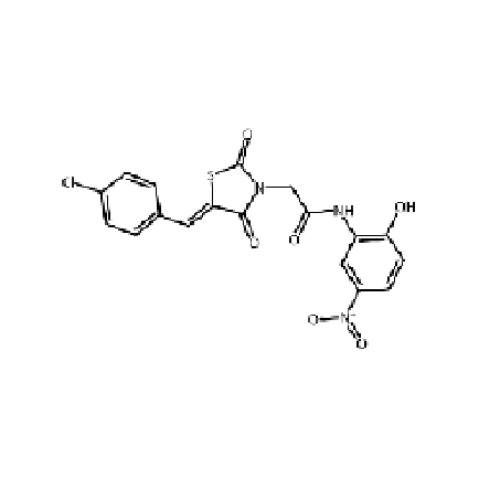 O=C(CN1C(=O)S/C(=C\c2ccc(Cl)cc2)C1=O)Nc1cc([N+](=O)[O-])ccc1O